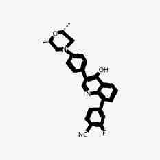 C[C@@H]1CN(c2ccc(-c3cnc4c(-c5ccc(C#N)c(F)c5)cccc4c3O)cc2)C[C@H](C)O1